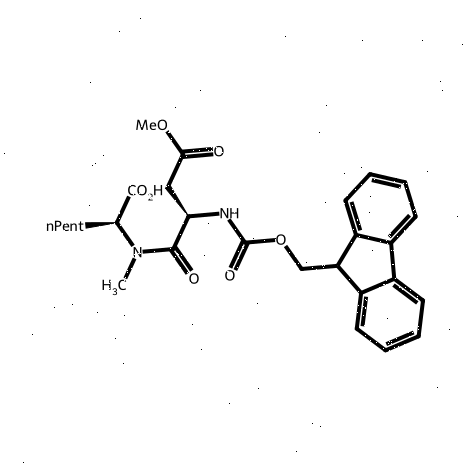 CCCCC[C@@H](C(=O)O)N(C)C(=O)[C@@H](CC(=O)OC)NC(=O)OCC1c2ccccc2-c2ccccc21